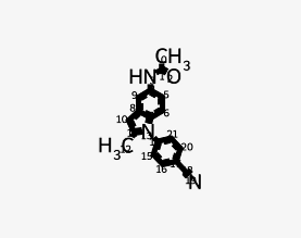 CC(=O)Nc1ccc2c(c1)cc(C)n2-c1ccc(C#N)cc1